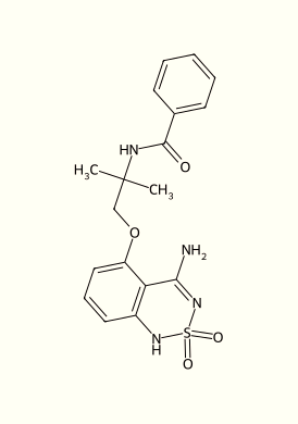 CC(C)(COc1cccc2c1C(N)=NS(=O)(=O)N2)NC(=O)c1ccccc1